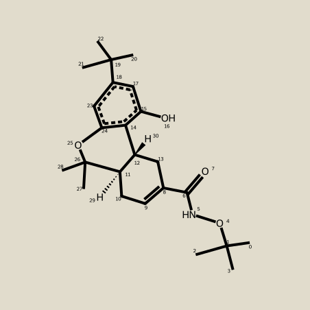 CC(C)(C)ONC(=O)C1=CC[C@@H]2[C@@H](C1)c1c(O)cc(C(C)(C)C)cc1OC2(C)C